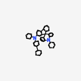 c1ccc(-c2ccc(N(c3ccccc3)c3ccc4c(c3)C3(c5ccccc5-4)c4ccccc4N(c4ccccc4)c4ccccc43)cc2)cc1